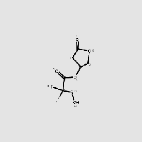 O=C1CC(OC(=O)C(F)(F)SO)CO1